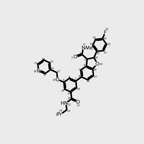 CNC(=O)C1c2cc(-c3cc(OCc4cccnc4)cc(C(=O)NCC(C)C)c3)ccc2OC1c1ccc(F)cc1